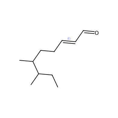 CCC(C)C(C)CC/C=C/C=O